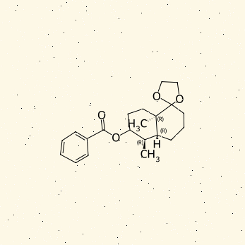 C[C@H]1C(OC(=O)c2ccccc2)CC[C@]2(C)[C@@H]1CCCC21OCCO1